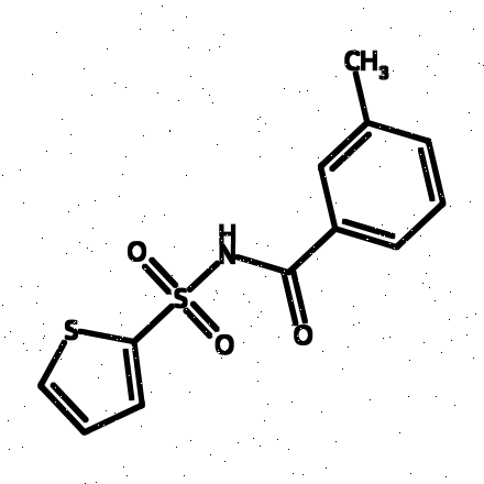 Cc1cccc(C(=O)NS(=O)(=O)c2cccs2)c1